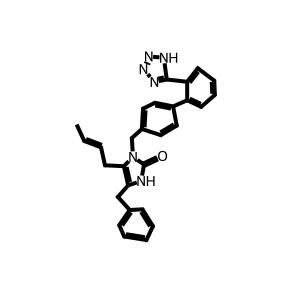 CC=CCc1c(Cc2ccccc2)[nH]c(=O)n1Cc1ccc(-c2ccccc2-c2nnn[nH]2)cc1